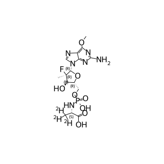 [2H]C([2H])([2H])[C@H](NP(=O)(O)OC[C@H]1O[C@@H](n2cnc3c(OC)nc(N)nc32)[C@](C)(F)[C@@H]1O)C(=O)O